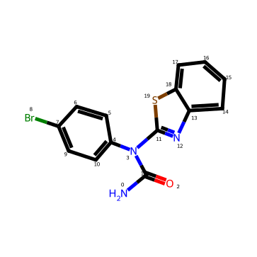 NC(=O)N(c1ccc(Br)cc1)c1nc2ccccc2s1